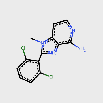 Cn1c(-c2c(Cl)cccc2Cl)nc2c(N)nccc21